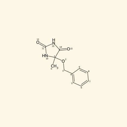 CC1(OCc2ccccc2)NC(=O)NC1=O